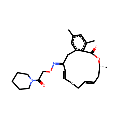 Cc1cc(C)c2c(c1)CC(=N/OCC(=O)N1CCCCC1)/C=C/CC/C=C/C[C@@H](C)OC2=O